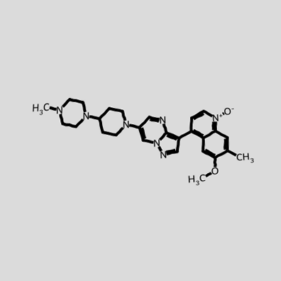 COc1cc2c(-c3cnn4cc(N5CCC(N6CCN(C)CC6)CC5)cnc34)cc[n+]([O-])c2cc1C